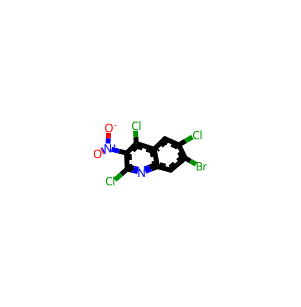 O=[N+]([O-])c1c(Cl)nc2cc(Br)c(Cl)cc2c1Cl